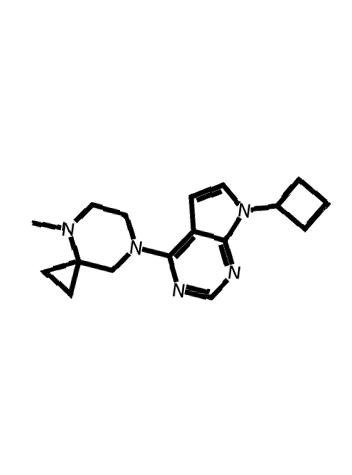 CN1CCN(c2ncnc3c2ccn3C2CCC2)CC12CC2